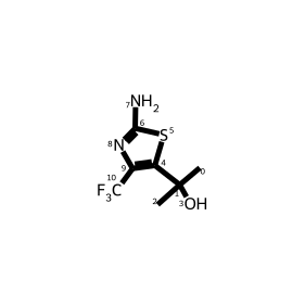 CC(C)(O)c1sc(N)nc1C(F)(F)F